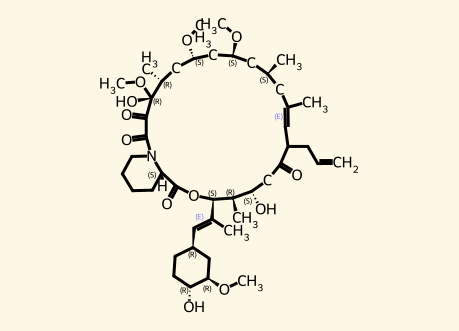 C=CCC1/C=C(\C)C[C@H](C)C[C@H](OC)C[C@@H](OC)C[C@@H](C)[C@@](O)(OC)C(=O)C(=O)N2CCCC[C@H]2C(=O)O[C@H](/C(C)=C/[C@@H]2CC[C@@H](O)[C@H](OC)C2)[C@H](C)[C@@H](O)CC1=O